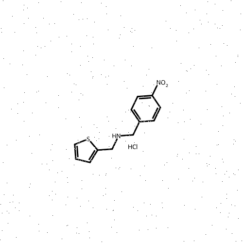 Cl.O=[N+]([O-])c1ccc(CNCc2cccs2)cc1